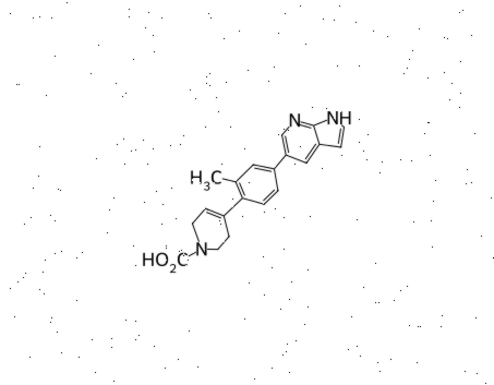 Cc1cc(-c2cnc3[nH]ccc3c2)ccc1C1=CCN(C(=O)O)CC1